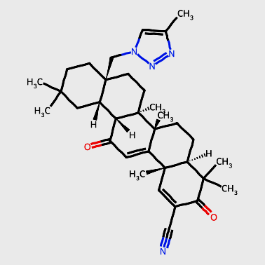 Cc1cn(C[C@]23CCC(C)(C)C[C@H]2[C@H]2C(=O)C=C4[C@@]5(C)C=C(C#N)C(=O)C(C)(C)[C@@H]5CC[C@@]4(C)[C@]2(C)CC3)nn1